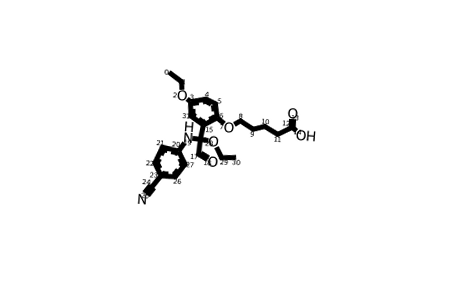 CCOc1ccc(OCCCCC(=O)O)c(C(C=O)(Nc2ccc(C#N)cc2)OCC)c1